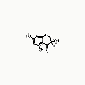 O=C1c2c(O)cc(O)cc2OCC1(O)O